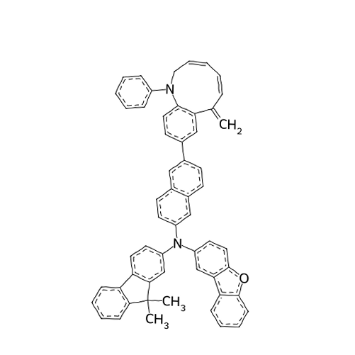 C=C1/C=C\C=C/CN(c2ccccc2)c2ccc(-c3ccc4cc(N(c5ccc6c(c5)C(C)(C)c5ccccc5-6)c5ccc6oc7ccccc7c6c5)ccc4c3)cc21